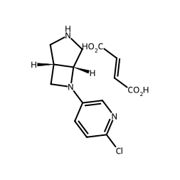 Clc1ccc(N2C[C@@H]3CNC[C@@H]32)cn1.O=C(O)C=CC(=O)O